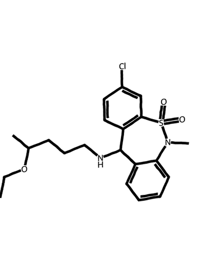 CCOC(C)CCCNC1c2ccccc2N(C)S(=O)(=O)c2cc(Cl)ccc21